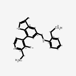 Cc1coc2c(-c3ccnc(CN)c3F)cc(COc3ccccc3CC(=O)O)cc12